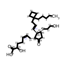 CCCCCC1(C/C=C/[C@H]2[C@H](SCCO)CC(=O)[C@@H]2C/C=C\CCC(O)C(=O)O)CCC1